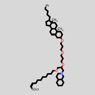 CCCCCCCC/C=C\CCCCCCCCOCC(CN1CCC2CCCCC2C1)OCCCOCCCOC1CC[C@@]2(C)C(=CCC3C4CCC(CCCCC(C)C)C4(C)CCC32)C1